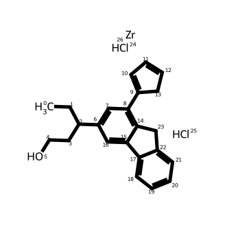 CCC(CCO)c1cc(C2=CC=CC2)c2c(c1)-c1ccccc1C2.Cl.Cl.[Zr]